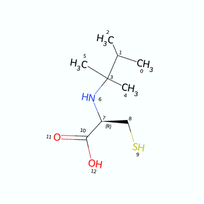 CC(C)C(C)(C)N[C@@H](CS)C(=O)O